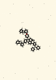 c1ccc(N(c2ccccc2)c2ccc3c(c2)-c2cccc4c(N(c5ccc(-c6cccc7c6oc6ccccc67)cc5)c5ccc(-c6cccc7c6oc6ccccc67)cc5)ccc(c24)O3)cc1